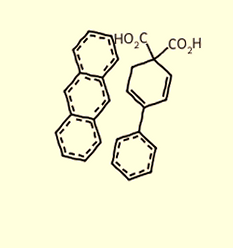 O=C(O)C1(C(=O)O)C=CC(c2ccccc2)=CC1.c1ccc2cc3ccccc3cc2c1